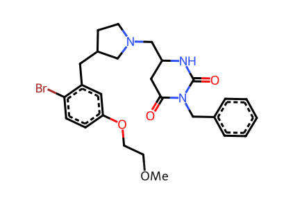 COCCOc1ccc(Br)c(CC2CCN(CC3CC(=O)N(Cc4ccccc4)C(=O)N3)C2)c1